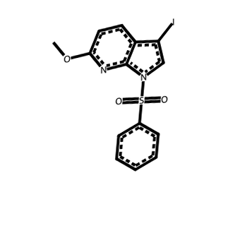 COc1ccc2c(I)cn(S(=O)(=O)c3ccccc3)c2n1